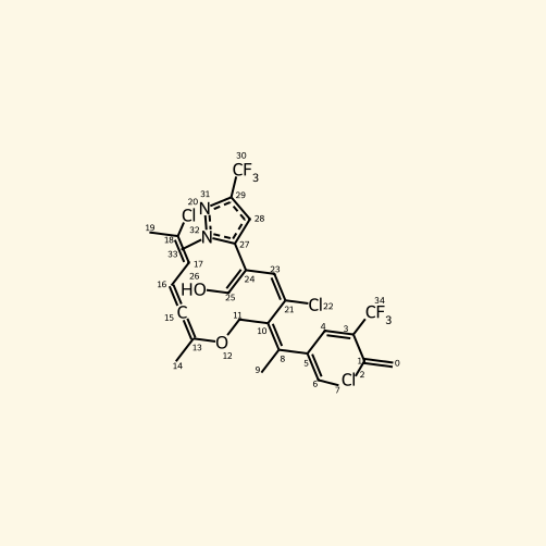 C=C(Cl)\C(=C/C(=C\C)C(/C)=C(COC(C)=C=C/C=C(\C)Cl)\C(Cl)=C/C(=C/O)c1cc(C(F)(F)F)nn1C)C(F)(F)F